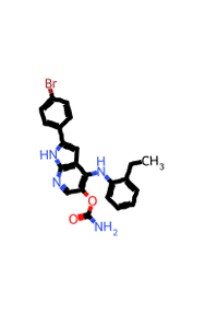 CCc1ccccc1Nc1c(OC(N)=O)cnc2[nH]c(-c3ccc(Br)cc3)cc12